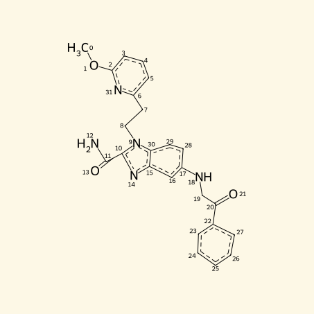 COc1cccc(CCn2c(C(N)=O)nc3cc(NCC(=O)c4ccccc4)ccc32)n1